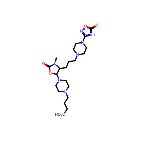 CN1C(=O)OC(N2CCN(CCCC(=O)O)CC2)C1CCCN1CCN(c2noc(=O)[nH]2)CC1